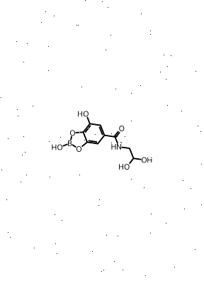 O=C(NCC(O)O)c1cc(O)c2c(c1)OB(O)O2